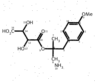 COc1ccc(CC(C)(C)OC(=O)C(O)C(O)C(=O)O)cc1.N